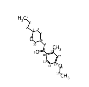 CCCC1CCC(CC(=O)c2ccc(OCC)cc2C)CO1